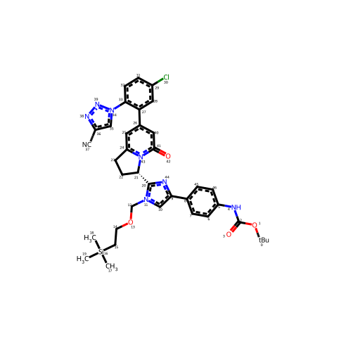 CC(C)(C)OC(=O)Nc1ccc(-c2cn(COCC[Si](C)(C)C)c([C@@H]3CCc4cc(-c5cc(Cl)ccc5-n5cc(C#N)nn5)cc(=O)n43)n2)cc1